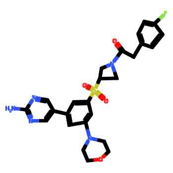 Nc1ncc(-c2cc(N3CCOCC3)cc(S(=O)(=O)C3CN(C(=O)Cc4ccc(F)cc4)C3)c2)cn1